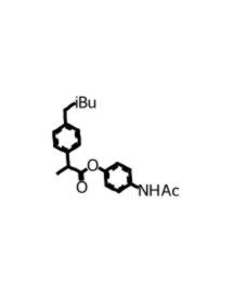 CCC(C)Cc1ccc(C(C)C(=O)Oc2ccc(NC(C)=O)cc2)cc1